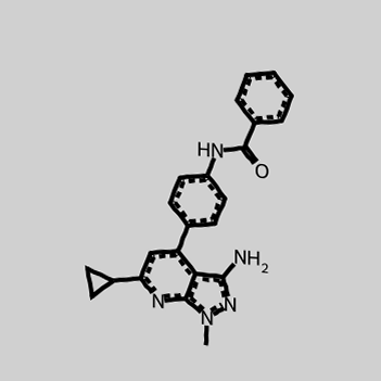 Cn1nc(N)c2c(-c3ccc(NC(=O)c4ccccc4)cc3)cc(C3CC3)nc21